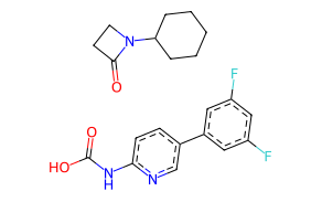 O=C(O)Nc1ccc(-c2cc(F)cc(F)c2)cn1.O=C1CCN1C1CCCCC1